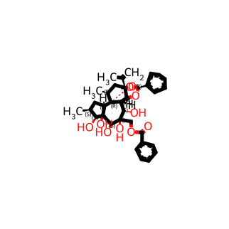 C=C(C)[C@]12C[C@@H](C)[C@@]34O[C@@](c5ccccc5)(O[C@@H]1[C@@H]3[C@H](O)[C@](O)(COC(=O)c1ccccc1)[C@@H](O)[C@@]1(O)[C@H]4C[C@H](C)[C@@H]1O)O2